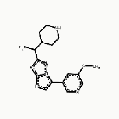 COc1cncc(-c2cnc3sc(C(N)C4CCNCC4)nn23)c1